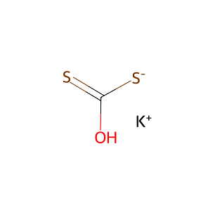 OC(=S)[S-].[K+]